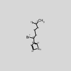 CC(I)CCCC(Br)c1ccsc1